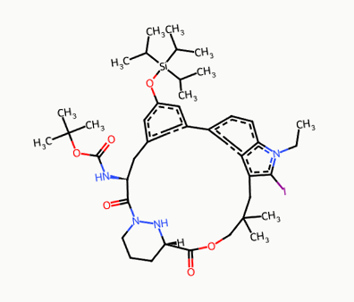 CCn1c(I)c2c3cc(ccc31)-c1cc(cc(O[Si](C(C)C)(C(C)C)C(C)C)c1)C[C@H](NC(=O)OC(C)(C)C)C(=O)N1CCC[C@H](N1)C(=O)OCC(C)(C)C2